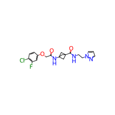 O=C(COc1ccc(Cl)c(F)c1)NC12CC(C(=O)NCCn3cccn3)(C1)C2